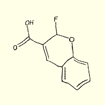 O=C(O)C1=Cc2ccccc2OC1F